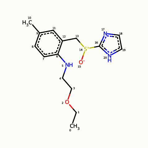 CCOCCNc1ccc(C)cc1C[S+]([O-])c1ncc[nH]1